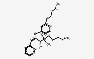 CCCCCC(C)(C)C(O)/C(=C\c1cccnc1)Oc1cccc(OCCCC)c1